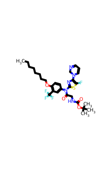 CCCCCCCCOc1ccc(N(C(=O)CNC(=O)OC(C)(C)C)c2nc(N3C=CC=NC3)c(F)s2)cc1C(F)(F)F